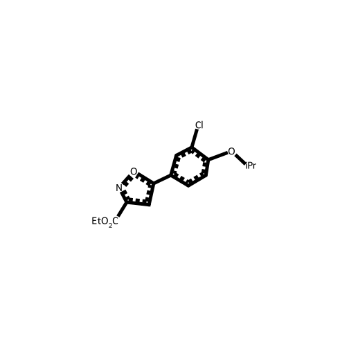 CCOC(=O)c1cc(-c2ccc(OC(C)C)c(Cl)c2)on1